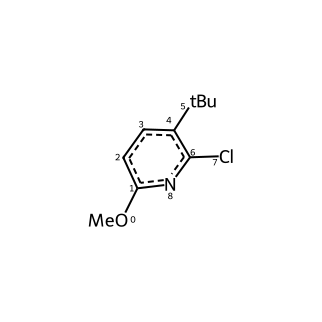 COc1ccc(C(C)(C)C)c(Cl)n1